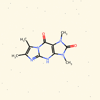 Cc1nc2[nH]c3c(c(=O)n2c1C)n(C)c(=O)n3C